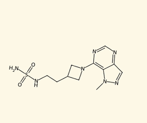 Cn1ncc2ncnc(N3CC(CCNS(N)(=O)=O)C3)c21